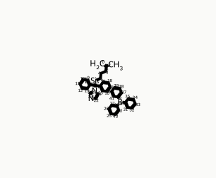 C=C(C)CCC[SiH2]C(c1ccccc1)(c1ccccc1)n1ccnc1.c1ccc(B(c2ccccc2)c2ccccc2)cc1